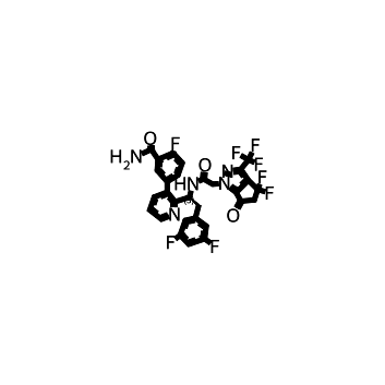 NC(=O)c1cc(-c2cccnc2[C@H](Cc2cc(F)cc(F)c2)NC(=O)Cn2nc(C(F)(F)F)c3c2C(=O)CC3(F)F)ccc1F